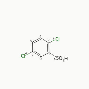 O=S(=O)(O)c1cc(Cl)ccc1Cl